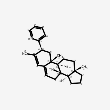 C[C@@]12CCC[C@H]1[C@@H]1CC=C3C=C(C#N)[C@@H](c4ccccn4)C[C@]3(C)[C@H]1CC2